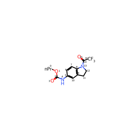 CCCOC(=O)Nc1ccc2c(c1)CCN2C(=O)C(F)(F)F